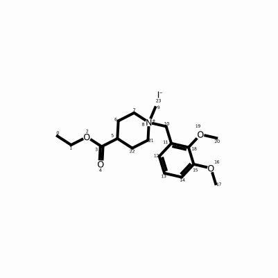 CCOC(=O)C1CC[N+](C)(Cc2cccc(OC)c2OC)CC1.[I-]